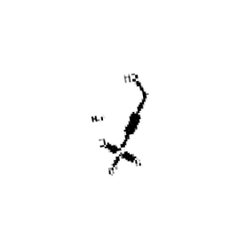 O=S(=O)([O-])C#CCO.[Na+]